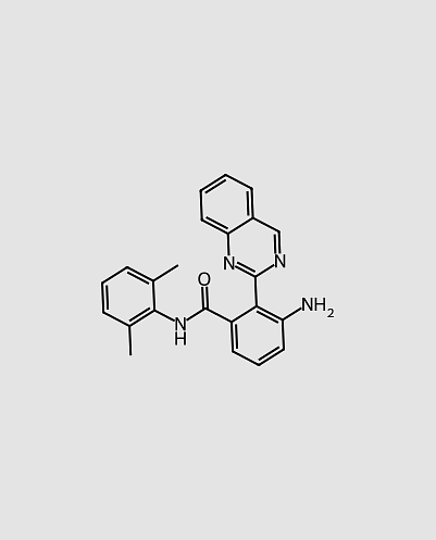 Cc1cccc(C)c1NC(=O)c1cccc(N)c1-c1ncc2ccccc2n1